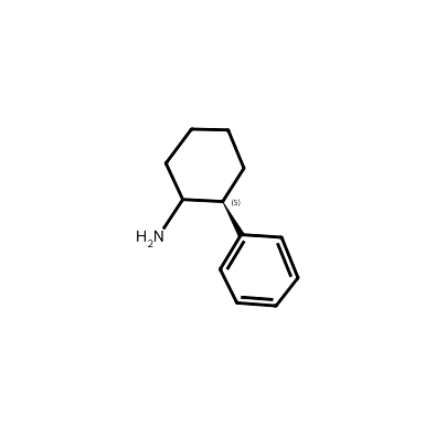 NC1CCCC[C@H]1c1ccccc1